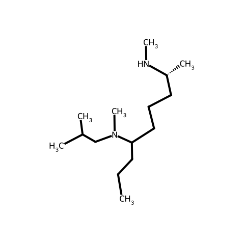 CCCC(CCC[C@@H](C)NC)N(C)CC(C)C